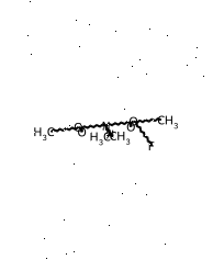 CCCCCCCCCOC(=O)CCCCCCCN(CCCCCCCC(=O)OC(CCCCCCCC)CCCCCCCCF)CCN(C)C